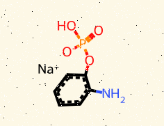 Nc1ccccc1OP(=O)([O-])O.[Na+]